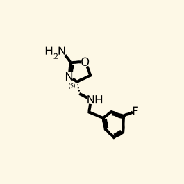 NC1=N[C@@H](CNCc2cccc(F)c2)CO1